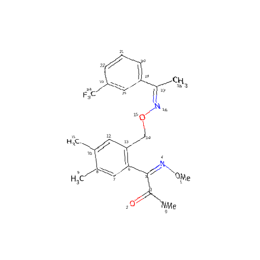 CNC(=O)C(=NOC)c1cc(C)c(C)cc1CON=C(C)c1cccc(C(F)(F)F)c1